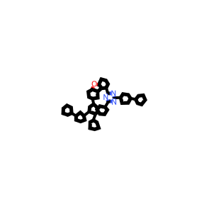 c1ccc(-c2ccc(-c3nc(-c4ccccc4)nc(-c4cccc5oc6ccc(-c7ccc(-c8ccccc8)c(-c8cccc(-c9ccccc9)c8)c7)cc6c45)n3)cc2)cc1